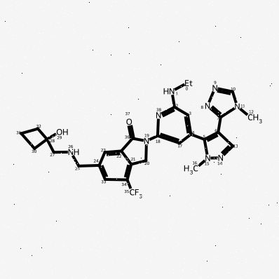 CCNc1cc(-c2c(-c3nncn3C)cnn2C)cc(N2Cc3c(cc(CNCC4(O)CCC4)cc3C(F)(F)F)C2=O)n1